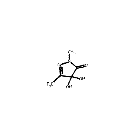 CN1N=C(C(F)(F)F)C(O)(O)C1=O